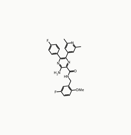 COc1ccc(F)cc1CNC(=O)c1nc(-c2cc(C)nc(C)c2)c(-c2ccc(F)cc2)nc1N